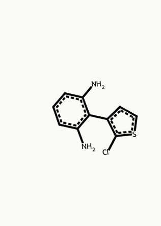 Nc1cccc(N)c1-c1ccsc1Cl